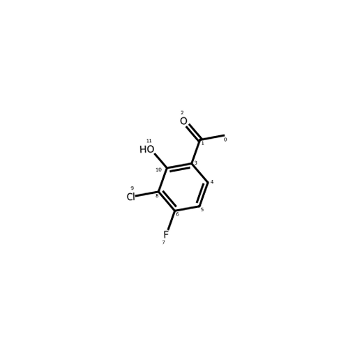 CC(=O)c1ccc(F)c(Cl)c1O